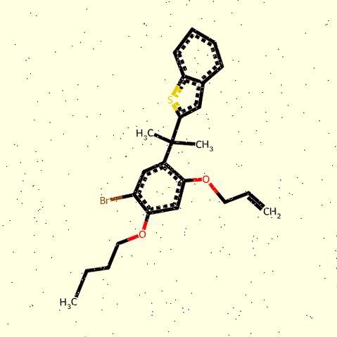 C=CCOc1cc(OCCCC)c(Br)cc1C(C)(C)c1cc2ccccc2s1